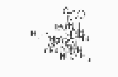 C=CCNC(=O)C(=O)C(CCCC)NC(=O)[C@@H]1[C@@H]2[C@H](CN1C(=O)[C@@H](NC(=O)N[C@H](CN1Cc3ccccc3CC1=O)C(C)(C)C)C(C)(C)C)C2(C)C